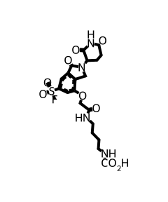 O=C(O)NCCCCNC(=O)COc1cc(S(=O)(=O)F)cc2c1CN(C1CCC(=O)NC1=O)C2=O